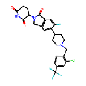 O=C1CCC(N2Cc3cc(C4CCN(Cc5ccc(C(F)(F)F)cc5Cl)CC4)c(F)cc3C2=O)C(=O)N1